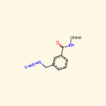 CCCCCNC(=O)c1cccc(CN=[N+]=[N-])c1